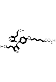 O=C(O)CCCCCOc1ccc(N(c2cscc2CCO)c2cscc2CCO)cc1